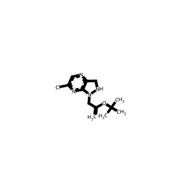 C=C(CN1NCc2ncc(Cl)nc21)OC(C)(C)C